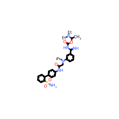 CCN(CC)C(C)OC(=O)NC(=N)c1cccc(N(CC(=O)Nc2ccc(-c3ccccc3S(N)(=O)=O)cc2)C(C)C)c1